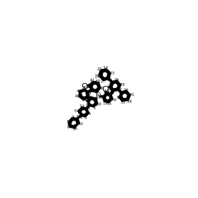 c1ccc(-c2ccc(-c3ccc(N(c4cccc5c4oc4c(-c6ccccc6)ccc(-c6ccccc6)c45)c4cccc5oc6ccccc6c45)cc3)cc2)cc1